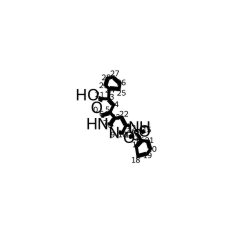 O=C(O)C(=Cc1c[nH]c2ncc(NS(=O)(=O)c3ccccc3)cc12)c1ccccc1